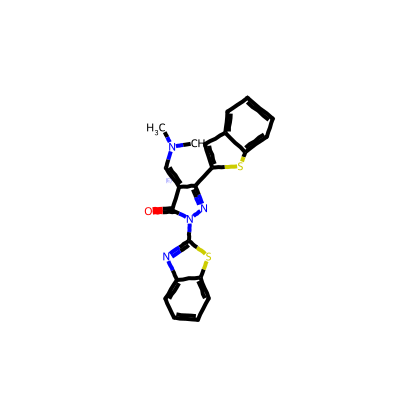 CN(C)/C=C1/C(=O)N(c2nc3ccccc3s2)N=C1c1cc2ccccc2s1